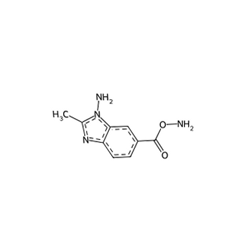 Cc1nc2ccc(C(=O)ON)cc2n1N